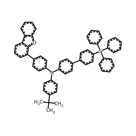 CC(C)(C)c1ccc(N(c2ccc(-c3ccc([Si](c4ccccc4)(c4ccccc4)c4ccccc4)cc3)cc2)c2ccc(-c3cccc4c3oc3ccccc34)cc2)cc1